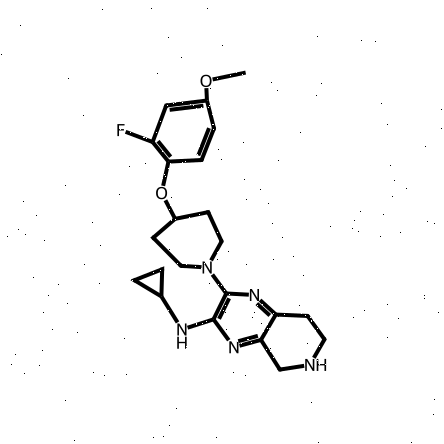 COc1ccc(OC2CCN(c3nc4c(nc3NC3CC3)CNCC4)CC2)c(F)c1